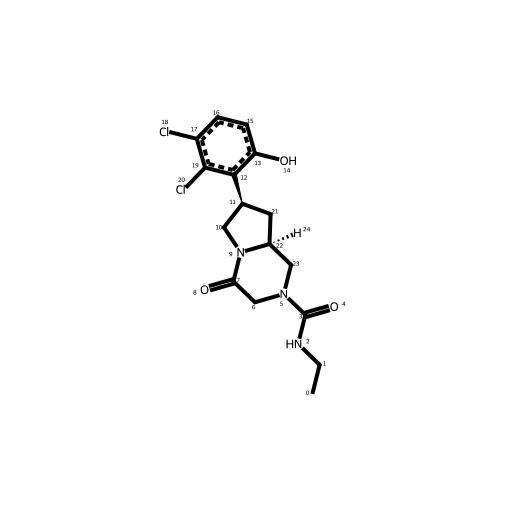 CCNC(=O)N1CC(=O)N2C[C@@H](c3c(O)ccc(Cl)c3Cl)C[C@H]2C1